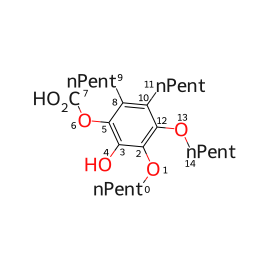 CCCCCOc1c(O)c(OC(=O)O)c(CCCCC)c(CCCCC)c1OCCCCC